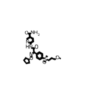 C=S(=O)(CCCOC)c1ccc(/C(=N\OC2CCCC2)C(=O)Nc2ccc(C(N)=O)cn2)cc1